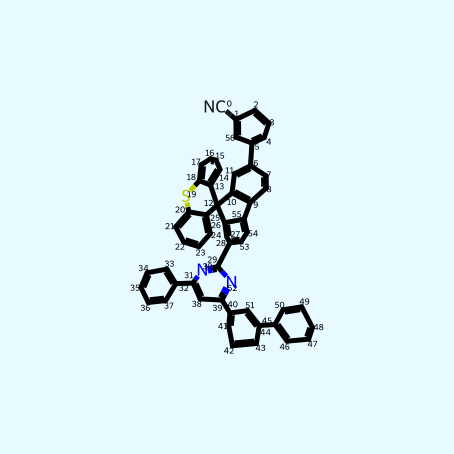 N#Cc1cccc(-c2ccc3c(c2)C2(c4ccccc4Sc4ccccc42)c2cc(-c4nc(-c5ccccc5)cc(-c5cccc(-c6ccccc6)c5)n4)ccc2-3)c1